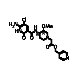 CO[C@@H]1CN(CC(=O)OCc2ccncc2)CC[C@@H]1NC(=O)c1cc(Cl)c(N)[nH]c1=O